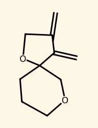 C=C1COC2(CCCOC2)C1=C